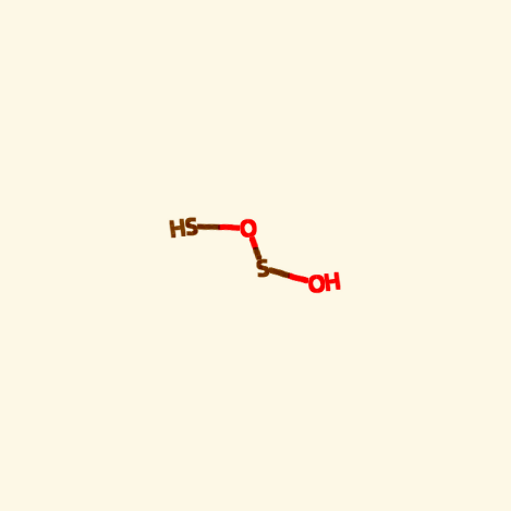 OSOS